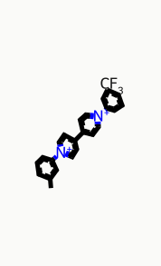 Cc1cccc(-[n+]2ccc(-c3cc[n+](-c4cccc(C(F)(F)F)c4)cc3)cc2)c1